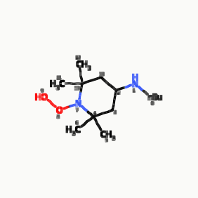 CCCCNC1CC(C)(C)N(OO)C(C)(C)C1